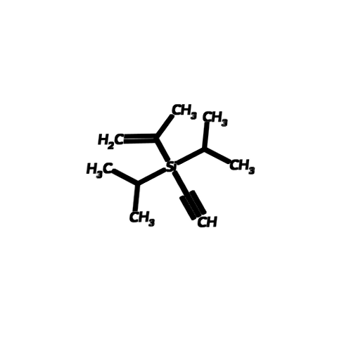 C#C[Si](C(=C)C)(C(C)C)C(C)C